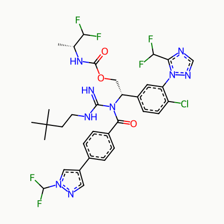 C[C@@H](NC(=O)OC[C@H](c1ccc(Cl)c(-n2ncnc2C(F)F)c1)N(C(=N)NCCC(C)(C)C)C(=O)c1ccc(-c2cnn(C(F)F)c2)cc1)C(F)F